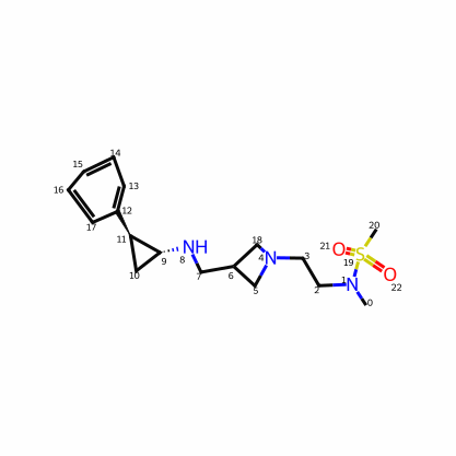 CN(CCN1CC(CN[C@@H]2C[C@H]2c2ccccc2)C1)S(C)(=O)=O